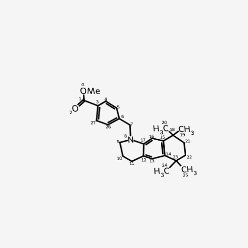 COC(=O)c1ccc(CN2CCCc3cc4c(cc32)C(C)(C)CCC4(C)C)cc1